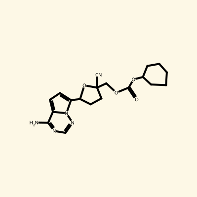 N#CC1(COC(=O)OC2CCCCC2)CCC(c2ccc3c(N)ncnn23)O1